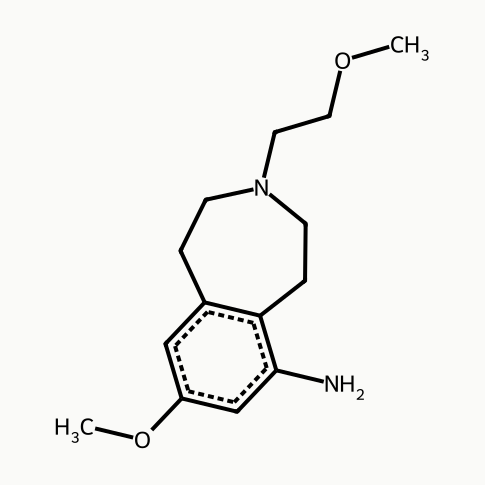 COCCN1CCc2cc(OC)cc(N)c2CC1